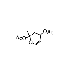 CC(=O)OC1C=COC(C)(OC(C)=O)C1